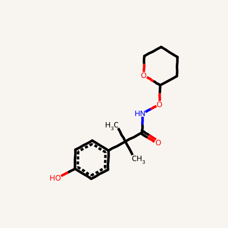 CC(C)(C(=O)NOC1CCCCO1)c1ccc(O)cc1